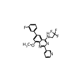 COc1cc(-c2cccc(F)c2)cc2c(NCC(F)(F)F)nc(-c3cccnc3)nc12